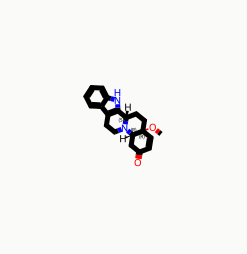 CO[C@]12C=CC(=O)C[C@H]1N1CCc3c([nH]c4ccccc34)[C@@H]1CC2